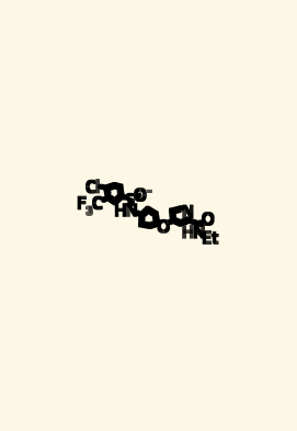 CCNC(=O)c1cc(Oc2ccc(N[S+]([O-])c3ccc(Cl)c(C(F)(F)F)c3)cc2)ccn1